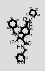 CC(C)c1c(C(=O)NCc2cccnc2)c2ccc(C(=O)NN3CCCC3)cc2n1Cc1ccccc1